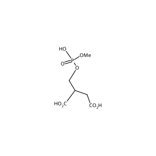 COP(=O)(O)OCC(CC(=O)O)C(=O)O